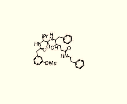 COc1cccc(CC(=O)NC(C(=O)NC(Cc2ccccc2)C(O)CCC(=O)NCCc2ccccc2)C(C)C)c1